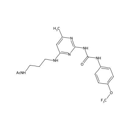 CC(=O)NCCCNc1cc(C)nc(NC(=O)Nc2ccc(OC(F)(F)F)cc2)n1